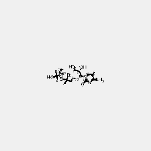 CCC(C)(CCO[C@H]([C@H](O)CO)n1cc(C)c(N)nc1=O)OP(=O)(O)C(C)(O)CC